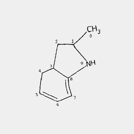 CC1CC2CC=CC=C2N1